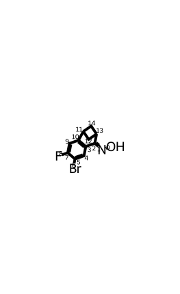 O/N=C1/c2cc(Br)c(F)cc2C2CC1C2